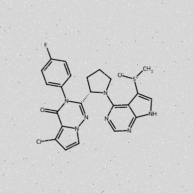 C[S+]([O-])c1c[nH]c2ncnc(N3CCC[C@H]3c3nn4ccc(Cl)c4c(=O)n3-c3ccc(F)cc3)c12